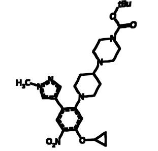 Cn1cc(-c2cc([N+](=O)[O-])c(OC3CC3)cc2N2CCC(N3CCN(C(=O)OC(C)(C)C)CC3)CC2)cn1